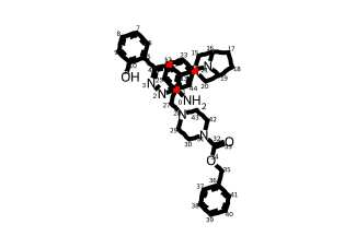 Nc1nnc(-c2ccccc2O)cc1N1CC2CCC(C1)N2c1cccc(CN2CCN(C(=O)OCc3ccccc3)CC2)c1